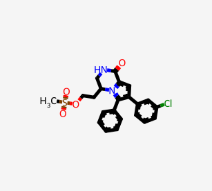 CS(=O)(=O)OCCC1CNC(=O)c2cc(-c3cccc(Cl)c3)c(-c3ccccc3)n21